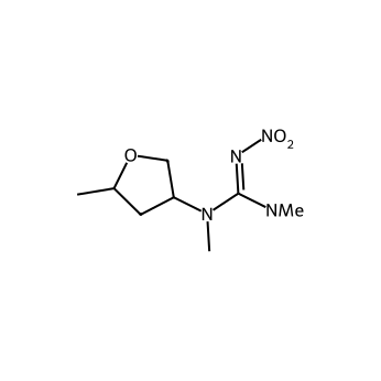 CNC(=N[N+](=O)[O-])N(C)C1COC(C)C1